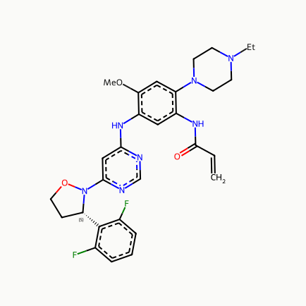 C=CC(=O)Nc1cc(Nc2cc(N3OCC[C@H]3c3c(F)cccc3F)ncn2)c(OC)cc1N1CCN(CC)CC1